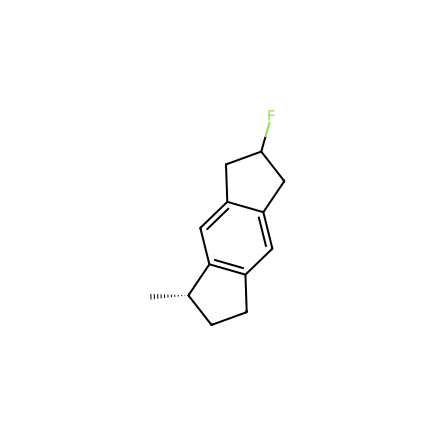 C[C@H]1CCc2cc3c(cc21)CC(F)C3